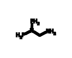 NCN(P)P